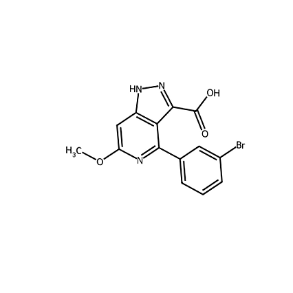 COc1cc2[nH]nc(C(=O)O)c2c(-c2cccc(Br)c2)n1